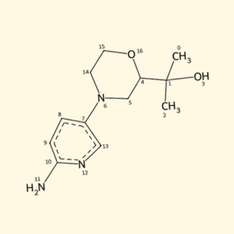 CC(C)(O)C1CN(c2ccc(N)nc2)CCO1